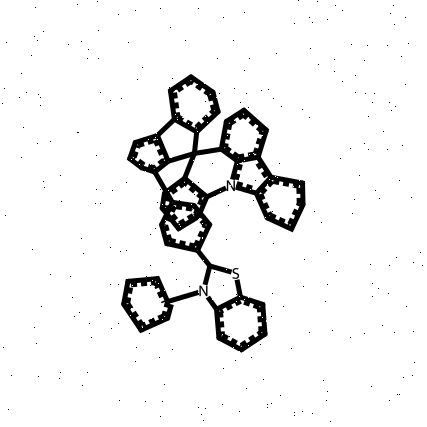 c1ccc(N2c3ccccc3SC2c2ccc(-c3cccc4c3C3(c5ccccc5-4)c4ccccc4-n4c5ccccc5c5cccc3c54)cc2)cc1